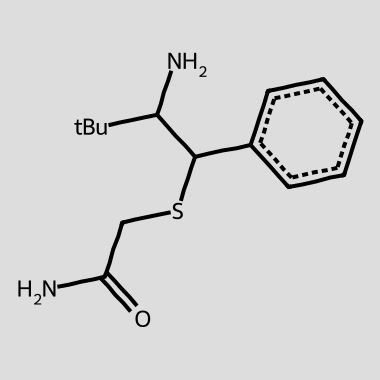 CC(C)(C)C(N)C(SCC(N)=O)c1ccccc1